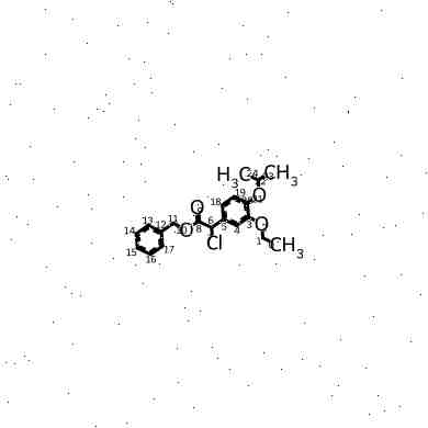 CCOc1cc(C(Cl)C(=O)OCc2ccccc2)ccc1OC(C)C